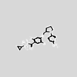 O=C(NS(=O)(=O)C1CC1)c1cc(Cl)c(OCC2CCCN2c2ccc(C(F)(F)F)nc2)cc1F